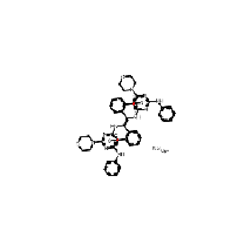 O=S(=O)([O-])c1ccccc1C(Nc1nc(Nc2ccccc2)nc(N2CCOCC2)n1)=C(Nc1nc(Nc2ccccc2)nc(N2CCOCC2)n1)c1ccccc1S(=O)(=O)[O-].[Na+].[Na+]